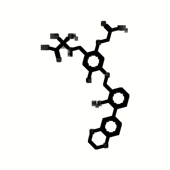 Cc1c(COc2cc(OCC(N)=O)c(CN[C@@](C)(O)C(=O)O)cc2Cl)cccc1-c1ccc2c(c1)OCCO2